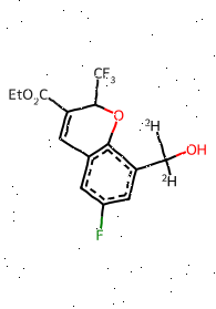 [2H]C([2H])(O)c1cc(F)cc2c1OC(C(F)(F)F)C(C(=O)OCC)=C2